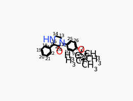 CC(C)(C)[Si](C)(C)Oc1ccc(N2CCNC(c3ccccc3)C2=O)cc1